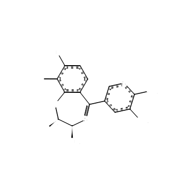 Cc1cc(C2=N[C@@H](C)[C@@H](C)Oc3c2ccc(F)c3F)cnc1C